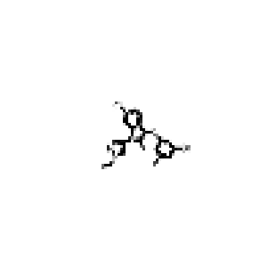 CCn1cc(-n2c(C)c(Sc3cc(C)cc(Br)c3)c3ccc(Cl)cc32)cn1